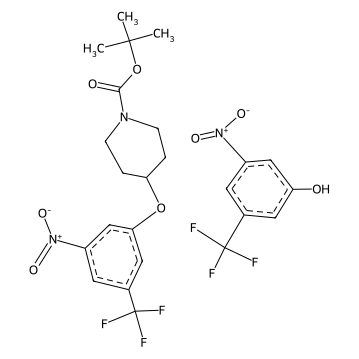 CC(C)(C)OC(=O)N1CCC(Oc2cc([N+](=O)[O-])cc(C(F)(F)F)c2)CC1.O=[N+]([O-])c1cc(O)cc(C(F)(F)F)c1